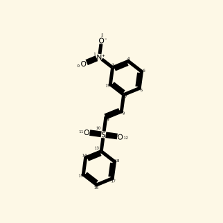 O=[N+]([O-])c1cccc(C=CS(=O)(=O)c2ccccc2)c1